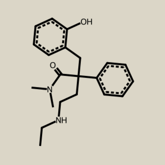 CCNCCC(Cc1ccccc1O)(C(=O)N(C)C)c1ccccc1